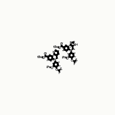 CC(C)Oc1cc(N(Cc2cccnc2)c2ccc(C(=O)OC(C)(C)C)cc2)ccc1OC(F)F.CC(C)Oc1cc(N(Cc2cnc[nH]2)c2ccc(C(=O)OC(C)(C)C)cc2)ccc1OC(F)F